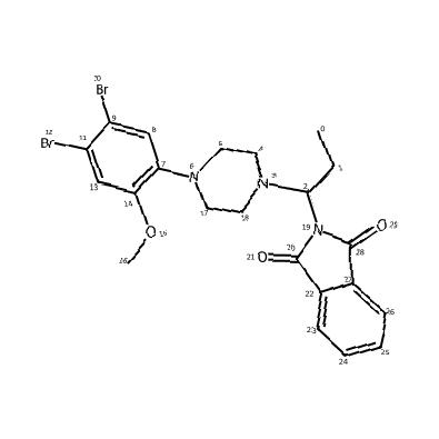 CCC(N1CCN(c2cc(Br)c(Br)cc2OC)CC1)N1C(=O)c2ccccc2C1=O